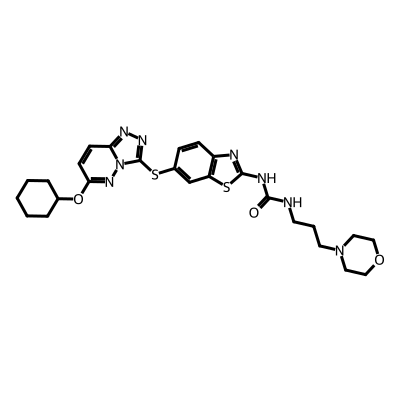 O=C(NCCCN1CCOCC1)Nc1nc2ccc(Sc3nnc4ccc(OC5CCCCC5)nn34)cc2s1